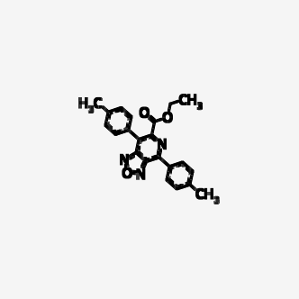 CCOC(=O)c1nc(-c2ccc(C)cc2)c2nonc2c1-c1ccc(C)cc1